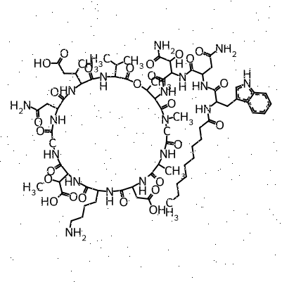 CCCCCCCCCC(=O)NC(Cc1c[nH]c2ccccc12)C(=O)NC(CC(N)=O)C(=O)NC(C(=O)NC1C(=O)N(C)CC(=O)NC(C)C(=O)NC(CC(=O)O)C(=O)NC(CCCCN)C(=O)NC(C(OC)C(=O)O)C(=O)NCC(=O)NC(CC(N)=O)C(=O)NC(C(C)CC(=O)O)C(=O)NC(C(C)C)C(=O)OC1C)C(O)C(N)=O